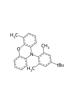 Cc1cccc2c1Oc1ccccc1N2c1c(C)cc(C(C)(C)C)cc1C